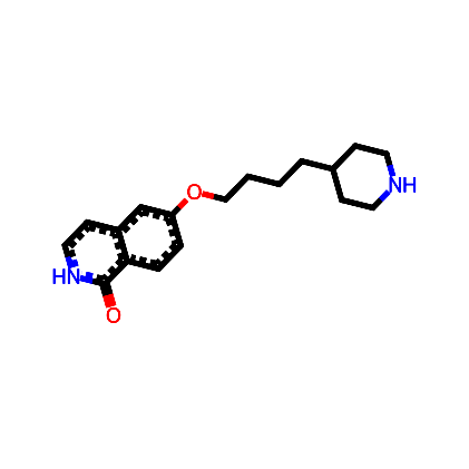 O=c1[nH]ccc2cc(OCCCCC3CCNCC3)ccc12